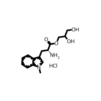 Cl.Cn1cc(C[C@@H](N)C(=O)OCC(O)CO)c2ccccc21